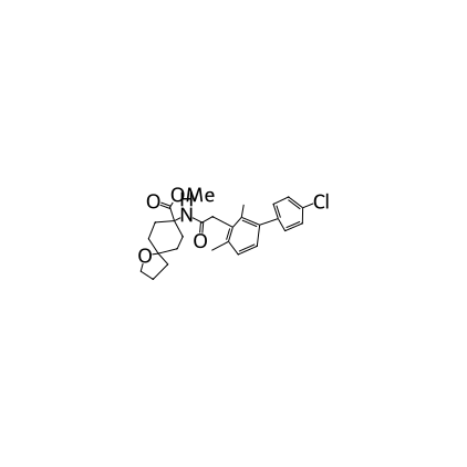 COC(=O)C1(NC(=O)Cc2c(C)ccc(-c3ccc(Cl)cc3)c2C)CCC2(CCCO2)CC1